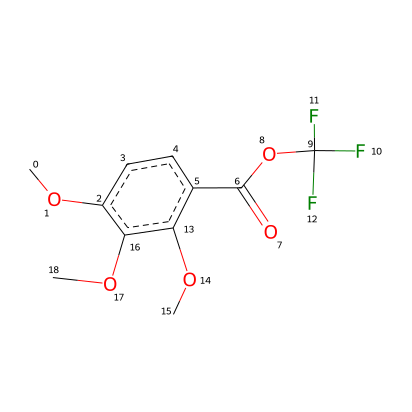 COc1ccc(C(=O)OC(F)(F)F)c(OC)c1OC